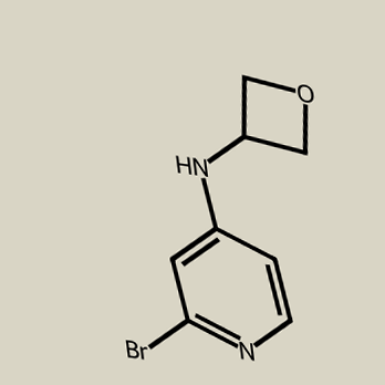 Brc1cc(NC2COC2)ccn1